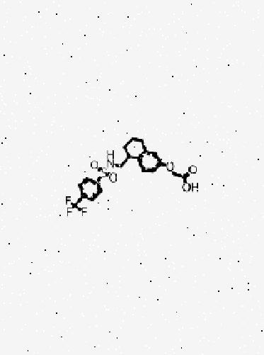 O=C(O)COc1ccc2c(c1)CCCC2CNS(=O)(=O)c1ccc(C(F)(F)F)cc1